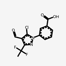 CC(F)(F)c1nn(-c2cccc(C(=O)O)c2)c(Cl)c1C=O